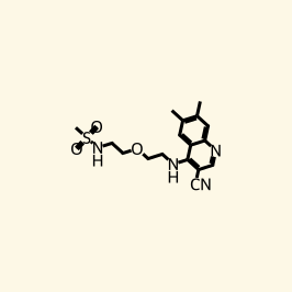 Cc1cc2ncc(C#N)c(NCCOCCNS(C)(=O)=O)c2cc1C